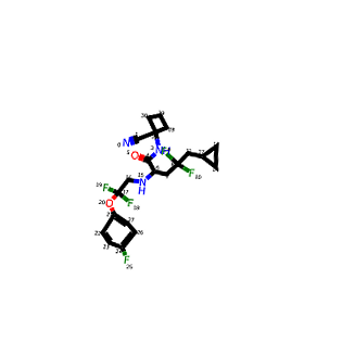 N#CC1(NC(=O)C(CC(F)(F)CC2CC2)NCC(F)(F)Oc2ccc(F)cc2)CCC1